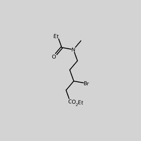 CCOC(=O)CC(Br)CCN(C)C(=O)CC